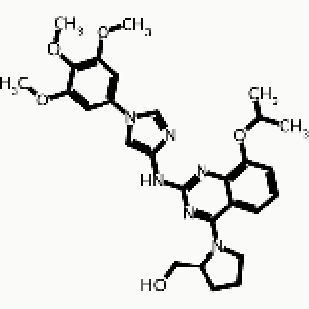 COc1cc(-n2cnc(Nc3nc(N4CCC[C@H]4CO)c4cccc(OC(C)C)c4n3)c2)cc(OC)c1OC